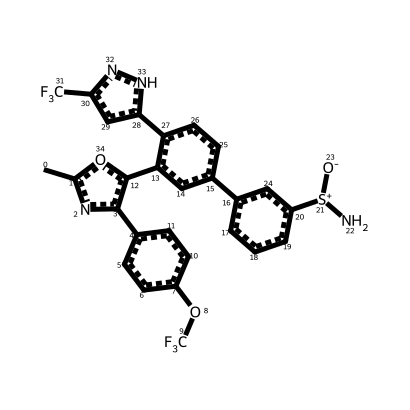 Cc1nc(-c2ccc(OC(F)(F)F)cc2)c(-c2cc(-c3cccc([S+](N)[O-])c3)ccc2-c2cc(C(F)(F)F)n[nH]2)o1